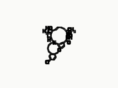 C[C@@H]1CC/C=C/[C@H](O)[C@]2(C)CC[C@H]2CN2CCCCc3cc(Cl)ccc3COc3ccc(cc32)C(=O)NS1(=O)=O